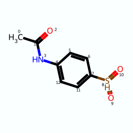 CC(=O)Nc1ccc([SH](=O)=O)cc1